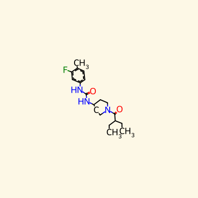 CCC(CC)C(=O)N1CCC(NC(=O)Nc2ccc(C)c(F)c2)CC1